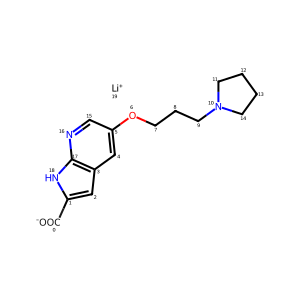 O=C([O-])c1cc2cc(OCCCN3CCCC3)cnc2[nH]1.[Li+]